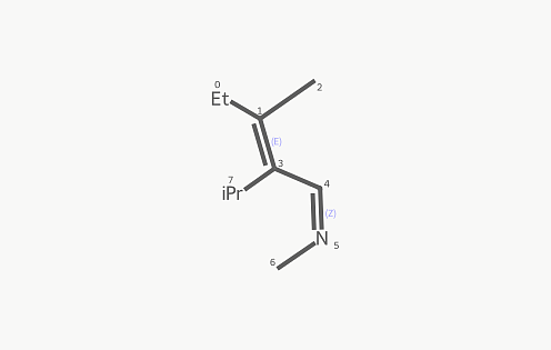 CC/C(C)=C(/C=N\C)C(C)C